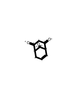 O=C1CC(=O)C2CC=CC1C2=O